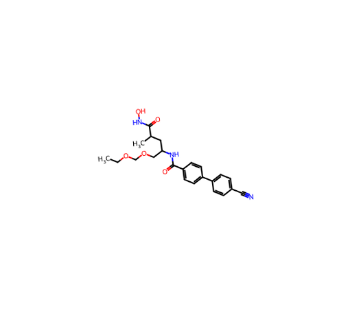 CCOCOCC(CC(C)C(=O)NO)NC(=O)c1ccc(-c2ccc(C#N)cc2)cc1